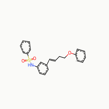 O=S(=O)(Nc1cccc(/C=C/CCOc2[c]cccc2)c1)c1ccccc1